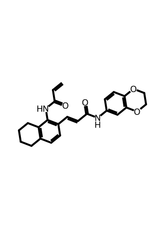 C=CC(=O)Nc1c(/C=C/C(=O)Nc2ccc3c(c2)OCCO3)ccc2c1CCCC2